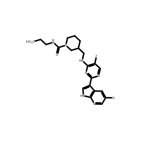 CCOC(=O)CCNC(=O)N1CCCC(CNc2nc(-c3c[nH]c4ncc(Cl)cc34)ncc2F)C1